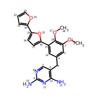 COc1cc(Cc2cnc(N)nc2N)cc(-c2ccc(-c3ccco3)o2)c1OC